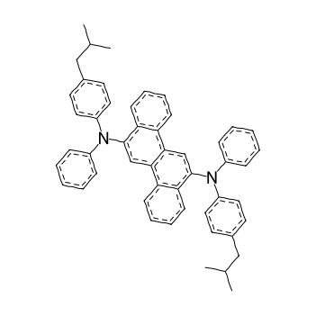 CC(C)Cc1ccc(N(c2ccccc2)c2cc3c4ccccc4c(N(c4ccccc4)c4ccc(CC(C)C)cc4)cc3c3ccccc23)cc1